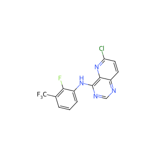 Fc1c(Nc2ncnc3ccc(Cl)nc23)cccc1C(F)(F)F